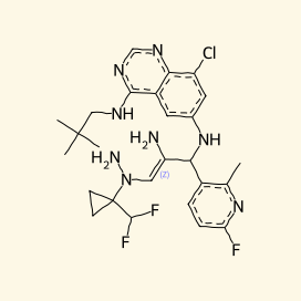 Cc1nc(F)ccc1C(Nc1cc(Cl)c2ncnc(NCC(C)(C)C)c2c1)/C(N)=C/N(N)C1(C(F)F)CC1